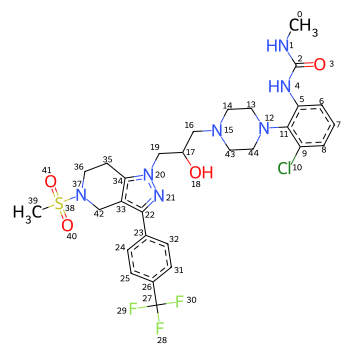 CNC(=O)Nc1cccc(Cl)c1N1CCN(CC(O)Cn2nc(-c3ccc(C(F)(F)F)cc3)c3c2CCN(S(C)(=O)=O)C3)CC1